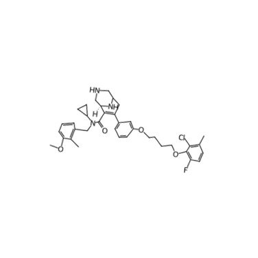 COc1cccc(CN(C(=O)C2=C(c3cccc(OCCCCOc4c(F)ccc(C)c4Cl)c3)CC3CNC[C@H]2N3)C2CC2)c1C